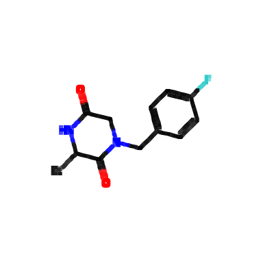 CCC1NC(=O)CN(Cc2ccc(F)cc2)C1=O